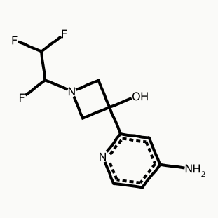 Nc1ccnc(C2(O)CN(C(F)C(F)F)C2)c1